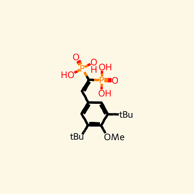 COc1c(C(C)(C)C)cc(C=C(P(=O)(O)O)P(=O)(O)O)cc1C(C)(C)C